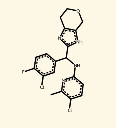 Cc1nc(NC(c2ccc(F)c(Cl)c2)c2nc3c([nH]2)COCC3)ccc1Cl